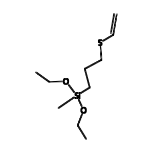 C=CSCCC[Si](C)(OCC)OCC